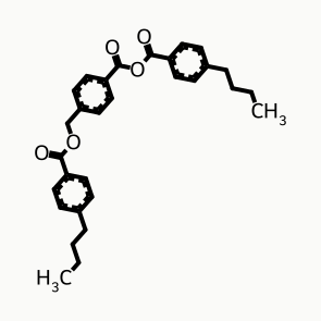 CCCCc1ccc(C(=O)OCc2ccc(C(=O)OC(=O)c3ccc(CCCC)cc3)cc2)cc1